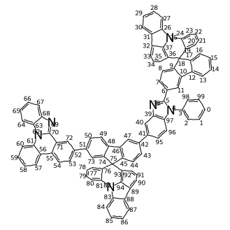 c1ccc(-n2c(-c3ccc4c(c3)-c3ccccc3C43c4ccccc4-n4c5ccccc5c5cccc3c54)nc3cc(-c4ccc5c(c4)-c4ccc(-c6ccc7c8ccccc8n8c9ccccc9nc8c7c6)cc4C54c5ccccc5-n5c6ccccc6c6cccc4c65)ccc32)cc1